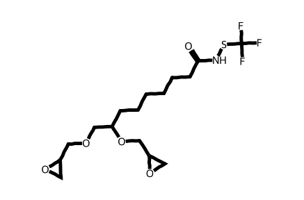 O=C(CCCCCCC(COCC1CO1)OCC1CO1)NSC(F)(F)F